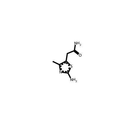 Cc1nc(N)sc1CC(N)=O